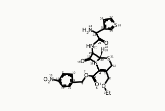 CCOCC1=C(C(=O)OCc2ccc([N+](=O)[O-])cc2)N2C(=O)C(NC(=O)C(N)c3ccsc3)[C@@H]2SC1